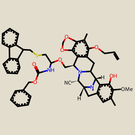 C=CCOc1c(C)c2c(c3c1CC1[C@@H]4c5c(cc(C)c(OC)c5O)C[C@H]([C@H](C#N)N1[C@H]3COC(CSCC1c3ccccc3-c3ccccc31)NC(=O)OCc1ccccc1)N4C)OCO2